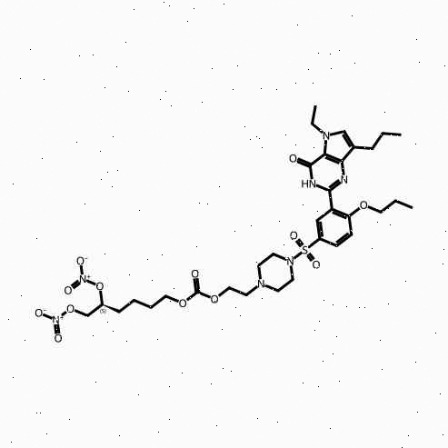 CCCOc1ccc(S(=O)(=O)N2CCN(CCOC(=O)OCCCC[C@@H](CO[N+](=O)[O-])O[N+](=O)[O-])CC2)cc1-c1nc2c(CCC)cn(CC)c2c(=O)[nH]1